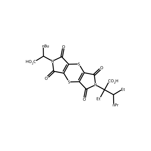 CCCCC(C(=O)O)n1c(=O)c2sc3c(=O)n(C(CC)(C(=O)O)C(CC)CCC)c(=O)c3sc2c1=O